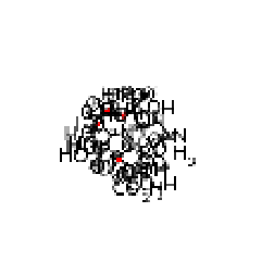 N.O=C(O)CC(CC(=O)O)(OP1(=O)OCCC1([N+](C(P(=O)(O)O)P(=O)(O)O)(C(P(=O)(O)O)P(=O)(O)O)C(P(=O)(O)O)P(=O)(O)O)P(=O)(O)O)C(=O)O